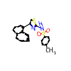 Cc1ccc(S(=O)(=O)Nc2nc(-c3cccc4ccccc34)cs2)cc1